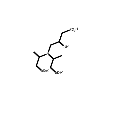 CCCCCCCCCCCC(C)N(CC(O)CS(=O)(=O)O)C(C)CCCCCCCCCCC